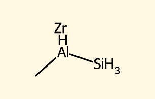 [CH3][AlH][SiH3].[Zr]